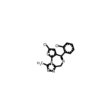 Cc1nnc2n1-c1sc(Cl)cc1C(c1ccccc1Cl)=NC2